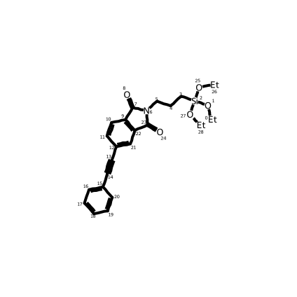 CCO[Si](CCCN1C(=O)c2ccc(C#Cc3ccccc3)cc2C1=O)(OCC)OCC